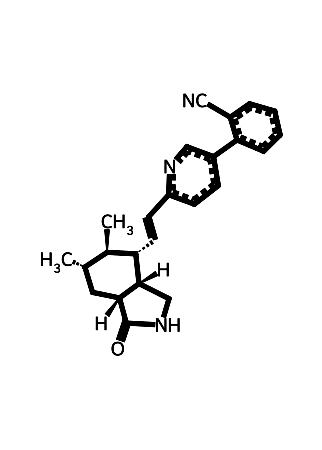 C[C@H]1[C@H](/C=C/c2ccc(-c3ccccc3C#N)cn2)[C@@H]2CNC(=O)[C@@H]2C[C@@H]1C